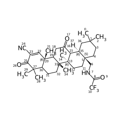 CC1(C)CC[C@]2(CNC(=O)C(F)(F)F)CC[C@]3(C)C(C(=O)CC4[C@@]5(C)C=C(C#N)C(=O)C(C)(C)C5CC[C@]43C)[C@H]2C1